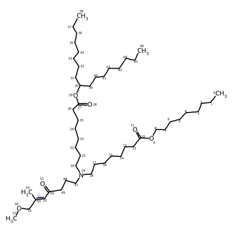 CCCCCCCCCOC(=O)CCCCCCCN(CCCCCCCC(=O)OC(CCCCCCCC)CCCCCCCC)CCCC(=O)/C=C(\C)COC